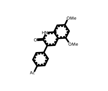 COc1cc(OC)c2cc(-c3ccc(C(C)=O)cc3)c(=O)[nH]c2c1